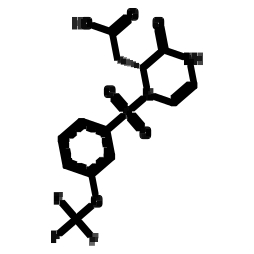 O=C(O)C[C@@H]1C(=O)NC=CN1S(=O)(=O)c1cccc(OC(F)(F)F)c1